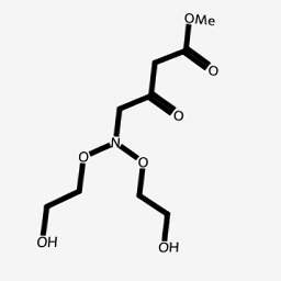 COC(=O)CC(=O)CN(OCCO)OCCO